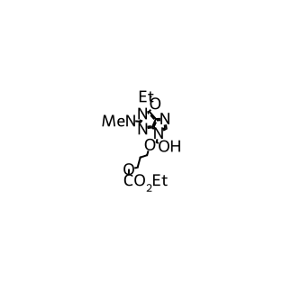 CCOC(=O)OCCCOC(O)n1cnc2c(OCC)nc(NC)nc21